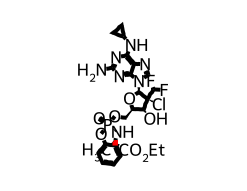 CCOC(=O)[C@@H](C)N[P@](=O)(OC[C@H]1O[C@@H](n2cnc3c(NC4CC4)nc(N)nc32)[C@@](Cl)(C(F)F)[C@@H]1O)Oc1ccccc1